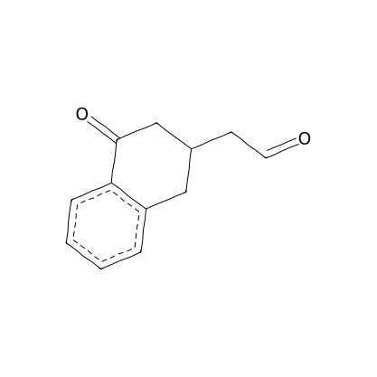 O=CCC1CC(=O)c2ccccc2C1